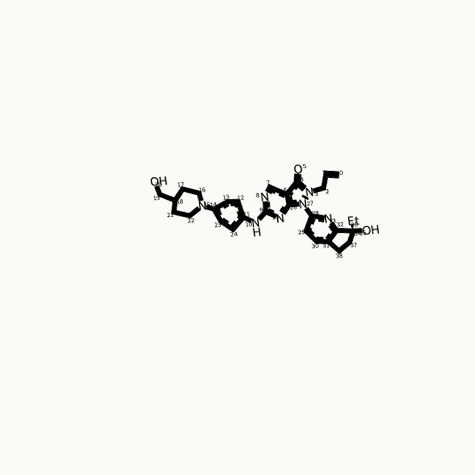 C=CCn1c(=O)c2cnc(Nc3ccc(N4CCC(CO)CC4)cc3)nc2n1-c1ccc2c(n1)[C@](O)(CC)CC2